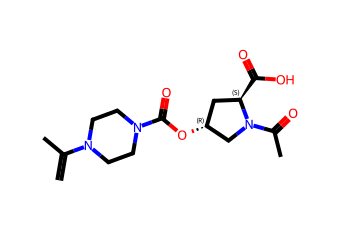 C=C(C)N1CCN(C(=O)O[C@@H]2C[C@@H](C(=O)O)N(C(C)=O)C2)CC1